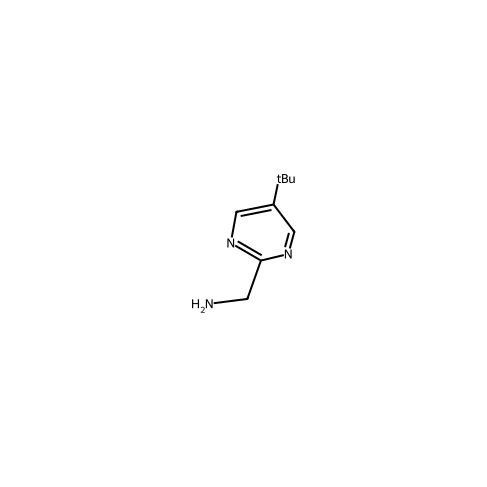 CC(C)(C)c1cnc(CN)nc1